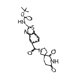 CC(C)(C)OC(=O)Nc1nc2cc(C(=O)N3CCC4(CCC(=O)NC4=O)C3)ccc2s1